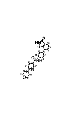 O=C(Nc1ccc(-c2cccc3c2CNC3=O)cc1)c1ccc(N2CCOCC2)nc1